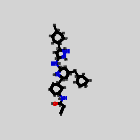 C=CC(=O)Nc1cccc(-c2cc(Cc3ccccc3)cc(Nc3cc(-c4ccc(C)cc4)[nH]n3)n2)c1